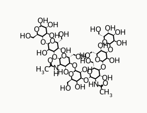 CC(=O)N[C@H]1[C@H](O[C@H]2[C@@H](O)[C@@H](CO)O[C@@H](O[C@H]3[C@H](O)[C@@H](O)[C@H](O)O[C@@H]3CO)[C@@H]2O)O[C@H](CO)[C@@H](O[C@@H]2O[C@H](CO)[C@H](O)[C@H](O[C@@H]3O[C@H](CO)[C@@H](O[C@@H]4O[C@H](CO)[C@H](O)[C@H](O[C@H]5O[C@H](CO)[C@H](O)[C@H](O)[C@H]5O)[C@H]4O)[C@H](O)[C@H]3NC(C)=O)[C@H]2O)[C@@H]1O